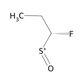 CC[C@H](F)[S+]=O